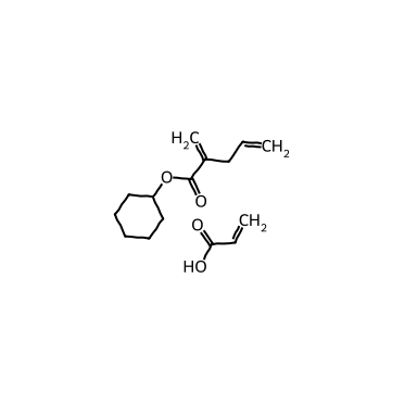 C=CC(=O)O.C=CCC(=C)C(=O)OC1CCCCC1